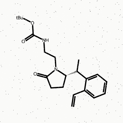 C=Cc1ccccc1C(C)[C@@H]1CCC(=O)N1CCNC(=O)OC(C)(C)C